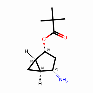 CC(C)(C)C(=O)O[C@@H]1C[C@H](N)[C@H]2C[C@H]21